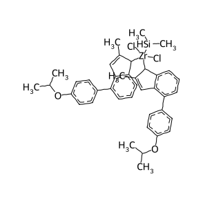 CC1=Cc2c(-c3ccc(OC(C)C)cc3)cccc2[CH]1[Zr]([Cl])([Cl])([CH]1C(C)=Cc2c(-c3ccc(OC(C)C)cc3)cccc21)[SiH](C)C